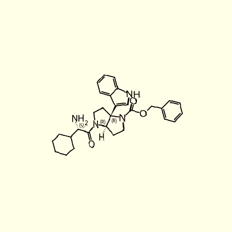 N[C@H](C(=O)N1CC[C@@]2(c3c[nH]c4ccccc34)[C@H]1CCN2C(=O)OCc1ccccc1)C1CCCCC1